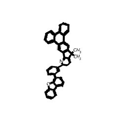 CC1(C)c2cc3c4ccccc4c4ccccc4c3cc2-c2nc(-c3cccc(-c4cccc5c4oc4ccccc45)c3)ccc21